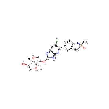 CS(C)(=O)=Nc1ccc(-c2nc3[nH]c(O[C@@H]4CO[C@H]5[C@@H]4OC[C@H]5O)nc3cc2Cl)cc1